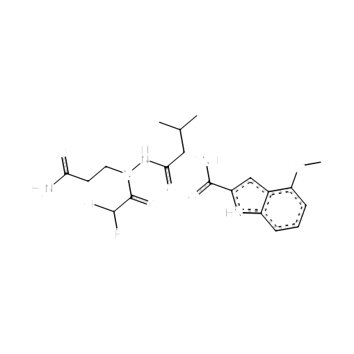 COc1cccc2[nH]c(C(=O)N[C@H](C(=O)NN(CCC(N)=O)C(=O)C(F)Cl)C(C)C)cc12